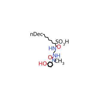 CCCCCCCCCCCCCCCCC(C(=O)NCCNC(=O)N(C)c1cccc(O)c1)S(=O)(=O)O